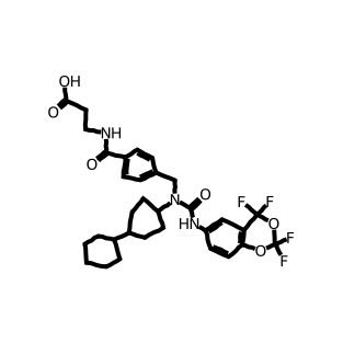 O=C(O)CCNC(=O)c1ccc(CN(C(=O)Nc2ccc3c(c2)C(F)(F)OC(F)(F)O3)C2CCC(C3CCCCC3)CC2)cc1